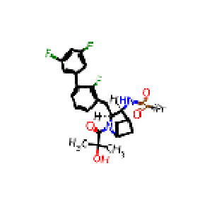 CC(C)S(=O)(=O)N[C@H]1C2CC(C2)N(C(=O)C(C)(C)O)[C@H]1Cc1cccc(-c2cc(F)cc(F)c2)c1F